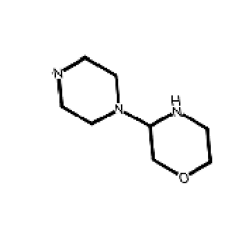 C1CN(C2COCCN2)CC[N]1